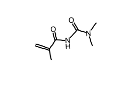 C=C(C)C(=O)NC(=O)N(C)C